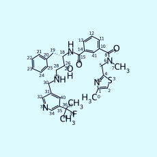 Cc1csc(CN(C)C(=O)c2cccc(C(=O)N[C@@H](Cc3ccccc3)[C@H](O)CNCc3cncc(C(C)(C)F)c3)c2)n1